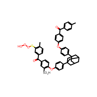 Cc1ccc(C(=O)c2ccc(Oc3ccc(C45CC6CC(C4)CC(c4ccc(Oc7ccc(C(=O)c8ccc(C)c(SOOO)c8)cc7S(=O)(=O)O)cc4)(C6)C5)cc3)cc2)cc1